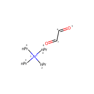 CCC[N+](CCC)(CCC)CCC.O=CC=O